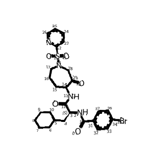 O=C(N[C@@H](CC1CCCCC1)C(=O)NC1CCCN(S(=O)(=O)c2ccccn2)CC1=O)c1ccc(Br)cc1